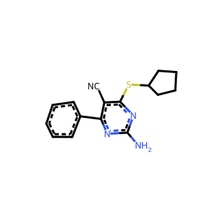 N#Cc1c(SC2CCCC2)nc(N)nc1-c1ccccc1